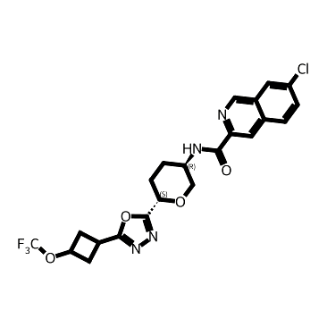 O=C(N[C@@H]1CC[C@@H](c2nnc(C3CC(OC(F)(F)F)C3)o2)OC1)c1cc2ccc(Cl)cc2cn1